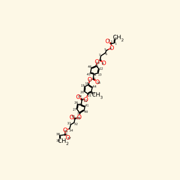 C=CC(=O)OCCCC(=O)Oc1ccc(C(=O)Oc2ccc(OC(=O)c3ccc(OC(=O)CCCOC(=O)C=C)cc3)c(C)c2)cc1